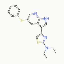 CCN(CC)c1nc(-c2c[nH]c3ncc(Sc4ccccc4)cc23)cs1